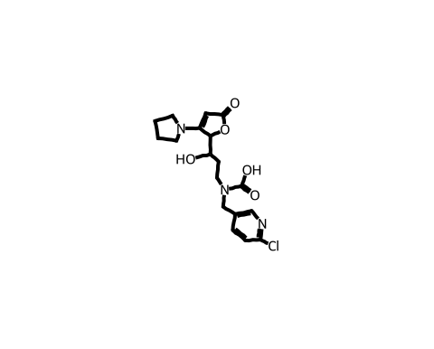 O=C1C=C(N2CCCC2)C(C(O)CCN(Cc2ccc(Cl)nc2)C(=O)O)O1